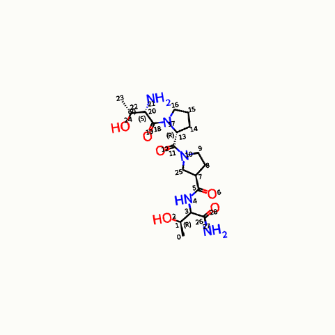 C[C@@H](O)C(NC(=O)C1CCN(C(=O)[C@H]2CCCN2C(=O)[C@@H](N)[C@@H](C)O)C1)C(N)=O